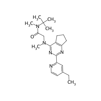 CCc1ccnc(-c2nc3c(c(N(C)CC(=O)N(C)C(C)(C)C)n2)CCC3)c1